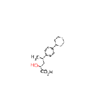 CC(CC(O)C(=O)O)c1ccc(C2CCCCC2)cc1